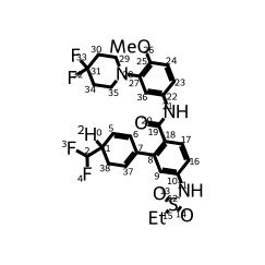 [2H]C1(C(F)F)C=CC(c2cc(NS(=O)(=O)CC)ccc2C(=O)Nc2ccc(OC)c(N3CCC(F)(F)CC3)c2)=CC1